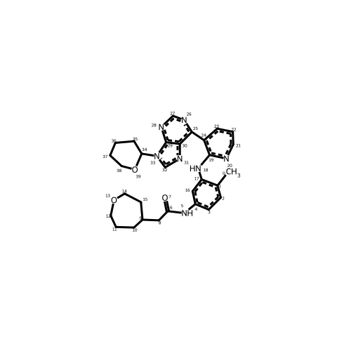 Cc1ccc(NC(=O)CC2CCCOCC2)cc1Nc1ncccc1-c1ncnc2c1ncn2C1CCCCO1